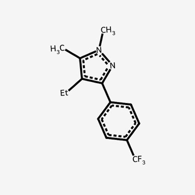 CCc1c(-c2ccc(C(F)(F)F)cc2)nn(C)c1C